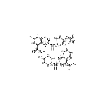 Cc1cc(C)c(NC(=O)Nc2ccc(OC(F)(F)F)cc2)c(C(=O)NC[C@H]2CC[C@@H](Nc3nc(N(C)C)c4ccccc4n3)CC2)c1